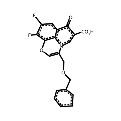 O=C(O)c1cn2c3c(c(F)c(F)cc3c1=O)OC=C2COCc1ccccc1